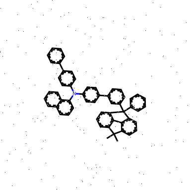 CC1(C)c2cccc3c2-c2c1cccc2C3(c1ccccc1)c1cccc(-c2ccc(N(c3ccc(-c4ccccc4)cc3)c3cccc4ccccc34)cc2)c1